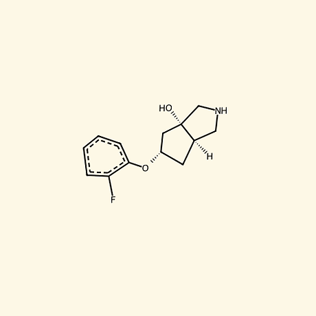 O[C@]12CNC[C@H]1C[C@H](Oc1ccccc1F)C2